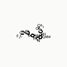 C=CC(=O)N1CCC(Nc2cc3c(Nc4ccc(Oc5ccnc(N6CCO[C@H](C(F)(F)F)C6)c5)cc4F)ncnc3cc2OC)CC1